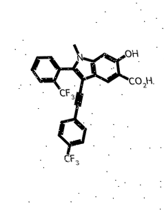 Cn1c(-c2ccccc2C(F)(F)F)c(C#Cc2ccc(C(F)(F)F)cc2)c2cc(C(=O)O)c(O)cc21